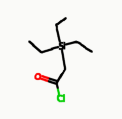 CC[Si](CC)(CC)CC(=O)Cl